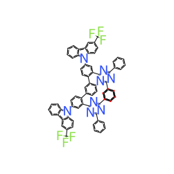 FC(F)(F)c1ccc2c(c1)c1ccccc1n2-c1ccc(-c2cccc(-c3ccc(-n4c5ccccc5c5cc(C(F)(F)F)ccc54)cc3-c3nc(-c4ccccc4)nc(-c4ccccc4)n3)c2)c(-c2nc(-c3ccccc3)nc(-c3ccccc3)n2)c1